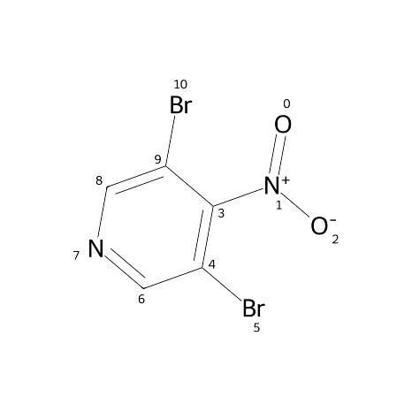 O=[N+]([O-])c1c(Br)cncc1Br